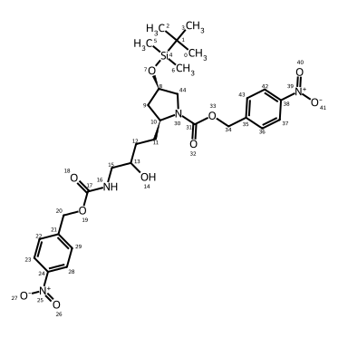 CC(C)(C)[Si](C)(C)O[C@@H]1C[C@H](CCC(O)CNC(=O)OCc2ccc([N+](=O)[O-])cc2)N(C(=O)OCc2ccc([N+](=O)[O-])cc2)C1